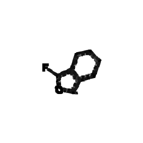 Fc1o[c]c2ccccc12